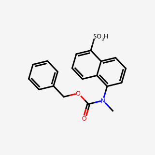 CN(C(=O)OCc1ccccc1)c1cccc2c(S(=O)(=O)O)cccc12